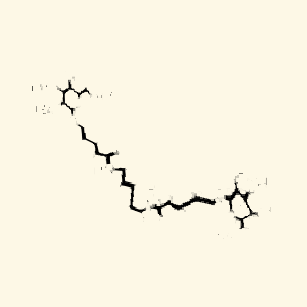 CC(=O)[C@H](CCCCNC(=O)CCCCOC1OC(CO)C(O)C(O)C1O)NC(=O)CCCCOC1OC(CO)C(O)C(O)C1O